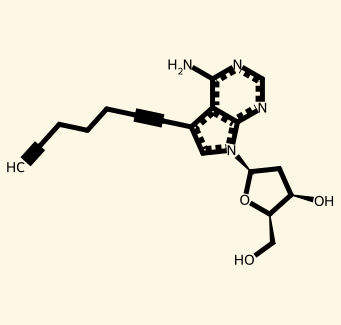 C#CCCCC#Cc1cn([C@H]2C[C@@H](O)[C@@H](CO)O2)c2ncnc(N)c12